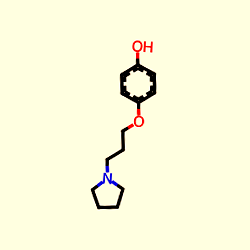 Oc1ccc(OCCCN2CCCC2)cc1